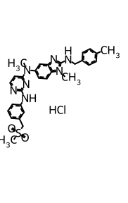 Cc1ccc(CNc2nc3cc(N(C)c4ccnc(Nc5cccc(CS(C)(=O)=O)c5)n4)ccc3n2C)cc1.Cl